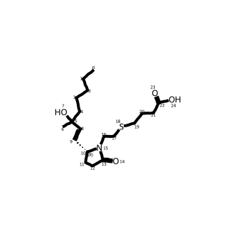 CCCCCC(C)(O)C=C[C@H]1CCC(=O)N1CCSCCCC(=O)O